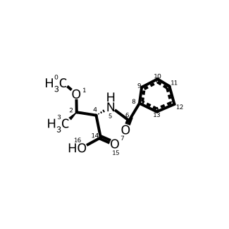 CO[C@H](C)[C@H](NC(=O)c1ccccc1)C(=O)O